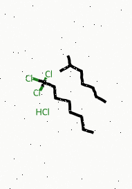 CCCCCC(C)C.CCCCCCCC(Cl)(Cl)Cl.Cl